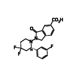 O=C(O)c1ccc2c(c1)C(=O)N(N1CCC(F)(F)C[C@H]1c1cccc(F)c1)C2